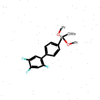 CO[Si](OC(C)C)(OC(C)C)c1ccc(-c2cc(F)c(F)cc2F)cc1